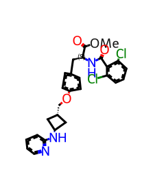 COC(=O)[C@H](Cc1ccc(OC[C@H]2C[C@@H](Nc3ccccn3)C2)cc1)NC(=O)c1c(Cl)cccc1Cl